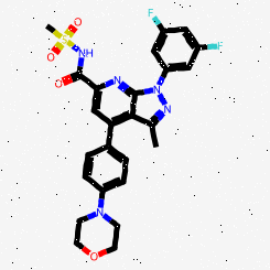 Cc1nn(-c2cc(F)cc(F)c2)c2nc(C(=O)NS(C)(=O)=O)cc(-c3ccc(N4CCOCC4)cc3)c12